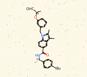 Cc1c(C)n(Cc2cccc(O[C@H](C)C=O)c2)c2ccc(C(=O)N[C@@H](C)c3ccc(C(C)(C)C)cc3)cc12